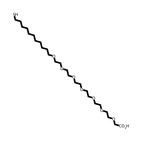 O=C(O)COCCOCCOCCOCCOCCOCCOCCCCCCCCCCCS